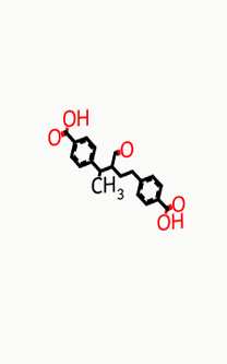 CC(c1ccc(C(=O)O)cc1)C(C=O)CCc1ccc(C(=O)O)cc1